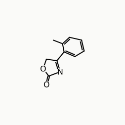 Cc1ccccc1C1=NC(=O)OC1